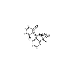 CNC(C)(O)c1ccccc1Nc1c(Cl)cccc1Cl